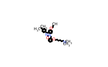 C#CCOc1ccc2c(c1)c(-c1ccc(C(C)C)cc1)nc(=O)n2Cc1ccccc1OCCCCCCN(C)C